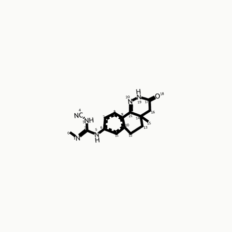 CN=C(NC#N)Nc1ccc2c(c1)CCC1(C)CC(=O)NN=C21